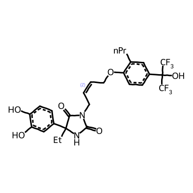 CCCc1cc(C(O)(C(F)(F)F)C(F)(F)F)ccc1OC/C=C\CN1C(=O)NC(CC)(c2ccc(O)c(O)c2)C1=O